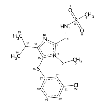 CCn1c(CNS(C)(=O)=O)nc(C(C)C)c1Sc1cccc(Cl)c1